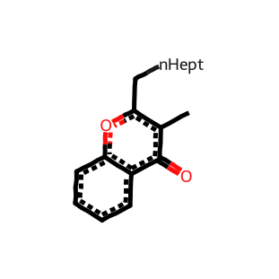 CCCCCCCCc1oc2ccccc2c(=O)c1C